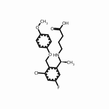 COc1ccc(OCc2c(Cl)cc(F)cc2[C@H](C)NCCCC(=O)O)cc1